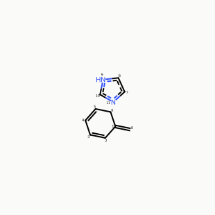 C=C1C=CC=CC1.c1c[nH]cn1